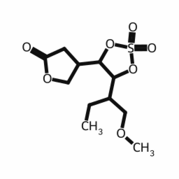 CCC(COC)C1OS(=O)(=O)OC1C1COC(=O)C1